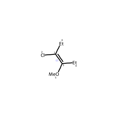 CC/C(Cl)=C(\CC)OC